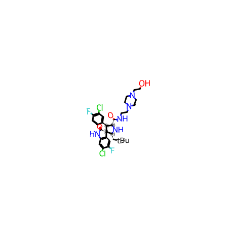 CC(C)(C)C[C@H]1N[C@@H](C(=O)NCCN2CCN(CCO)CC2)[C@H](c2ccc(F)c(Cl)c2)[C@@]12C(=O)Nc1cc(Cl)c(F)cc12